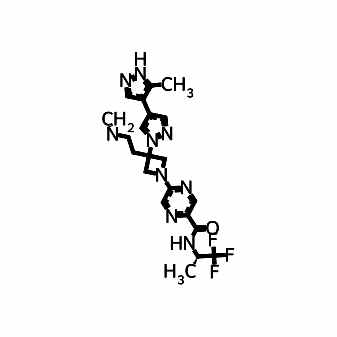 C=NCCC1(n2cc(-c3cn[nH]c3C)cn2)CN(c2cnc(C(=O)N[C@@H](C)C(F)(F)F)cn2)C1